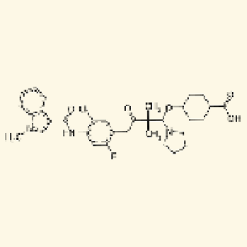 Cn1cc(C(=O)Nc2cc(F)c(CC(=O)C(C)(C)C(OC3CCC(C(=O)O)CC3)N3CCCC3)cc2Cl)c2ccccc21